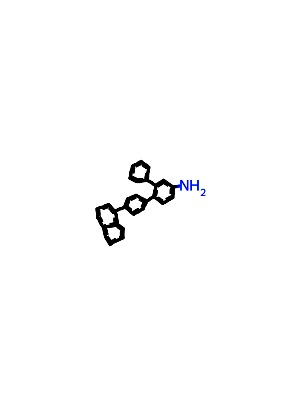 Nc1ccc(-c2ccc(-c3cccc4ccccc34)cc2)c(-c2ccccc2)c1